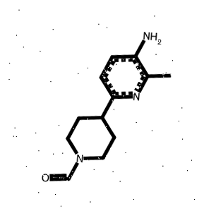 Cc1nc(C2CCN(C=O)CC2)ccc1N